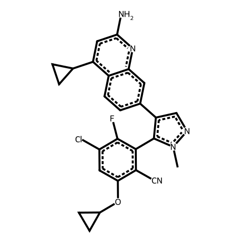 Cn1ncc(-c2ccc3c(C4CC4)cc(N)nc3c2)c1-c1c(F)c(Cl)cc(OC2CC2)c1C#N